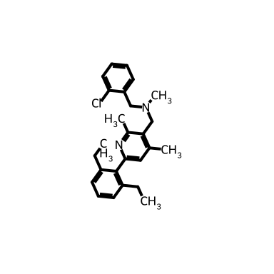 CCc1cccc(CC)c1-c1cc(C)c(CN(C)Cc2ccccc2Cl)c(C)n1